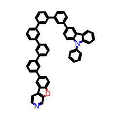 c1ccc(-n2c3ccccc3c3cc(-c4cccc(-c5cccc(-c6cccc(-c7cccc(-c8cccc(-c9ccc%10oc%11cnccc%11c%10c9)c8)c7)c6)c5)c4)ccc32)cc1